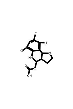 O=C(O)OC1Nc2c(Cl)cc(Cl)c(Cl)c2C2OCCC12